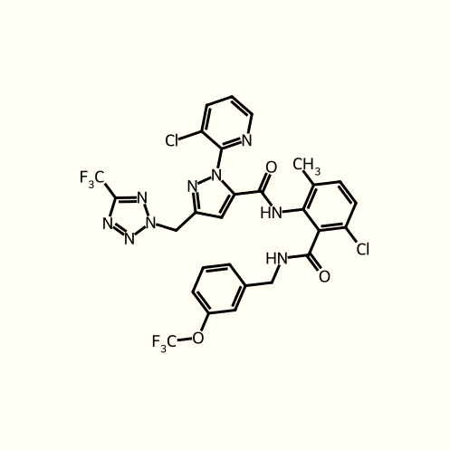 Cc1ccc(Cl)c(C(=O)NCc2cccc(OC(F)(F)F)c2)c1NC(=O)c1cc(Cn2nnc(C(F)(F)F)n2)nn1-c1ncccc1Cl